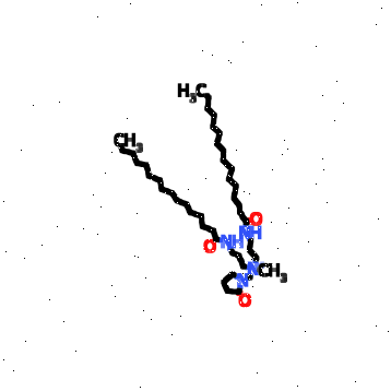 CCCCCCCCCCCCCCCC(=O)NCCC[N+](C)(CCCNC(=O)CCCCCCCCCCCCCCC)CN1CCCC1=O